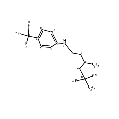 CC(CCNc1ccc(C(F)(F)F)cn1)CC(C)(F)F